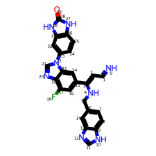 N=C/C=C(\NCc1ccc2[nH]cnc2c1)c1cc(F)c2ncn(-c3ccc4[nH]c(=O)[nH]c4c3)c2c1